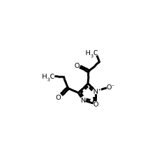 CCC(=O)c1no[n+]([O-])c1C(=O)CC